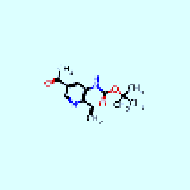 C=Cc1ncc(C(C)=O)cc1NC(=O)OC(C)(C)C